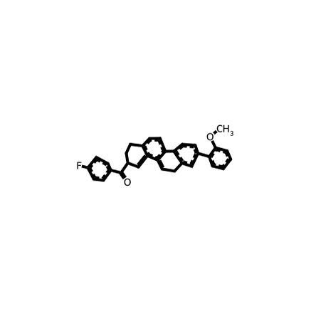 COc1ccccc1-c1ccc2c(c1)CC=c1c-2ccc2c1=CC(C(=O)c1ccc(F)cc1)CC2